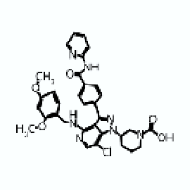 COc1ccc(CNc2ncc(Cl)c3c2c(-c2ccc(C(=O)Nc4ccccn4)cc2)nn3[C@@H]2CCCN(C(=O)O)C2)c(OC)c1